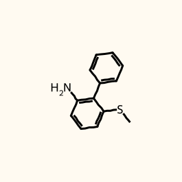 CSc1cccc(N)c1-c1ccccc1